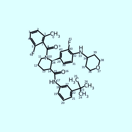 Cc1cccc(F)c1C(=O)N1CCCC(C(=O)Nc2cccc(C(C)(C)C)c2)[C@@H]1c1ccc(NC2CCOCC2)c(F)c1